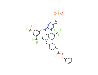 CCN(CC1CCC(CC(=O)OCc2ccccc2)CC1)c1ccc(C(F)(F)F)cc1CN(c1ncc(OCCS(C)(=O)=O)cn1)C(C)c1cc(C(F)(F)F)cc(C(F)(F)F)c1